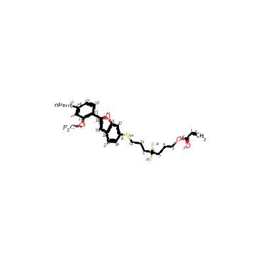 C=CC(=O)OCCCC(F)(F)CCCSc1ccc2cc(-c3ccc(CCCCC)cc3OC(F)(F)F)oc2c1